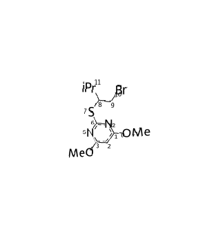 COc1cc(OC)nc(SC(CBr)C(C)C)n1